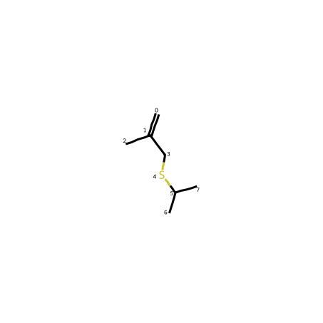 C=C(C)CSC(C)C